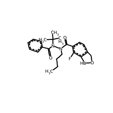 CCCCN(C(=O)c1ccc2c(c1F)BOC2)N(C(=O)c1ccccc1)C(C)(C)C